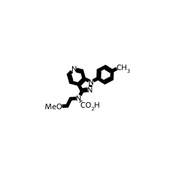 COCCN(C(=O)O)c1nn(-c2ccc(C)cc2)c2cnccc12